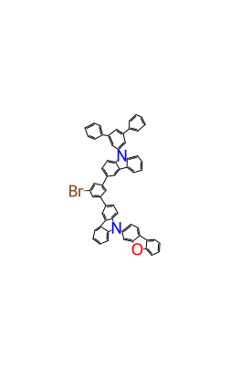 Brc1cc(-c2ccc3c(c2)c2ccccc2n3-c2cc(-c3ccccc3)cc(-c3ccccc3)c2)cc(-c2ccc3c(c2)c2ccccc2n3-c2ccc3c(c2)oc2ccccc23)c1